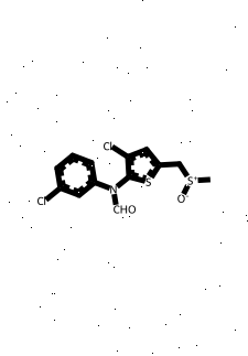 C[S+]([O-])Cc1cc(Cl)c(N(C=O)c2cccc(Cl)c2)s1